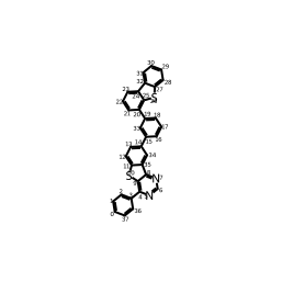 c1ccc(-c2ncnc3c2sc2ccc(-c4cccc(-c5cccc6c5sc5ccccc56)c4)cc23)cc1